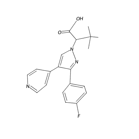 CC(C)(C)C(C(=O)O)n1cc(-c2ccncc2)c(-c2ccc(F)cc2)n1